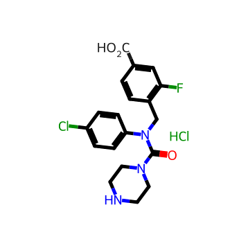 Cl.O=C(O)c1ccc(CN(C(=O)N2CCNCC2)c2ccc(Cl)cc2)c(F)c1